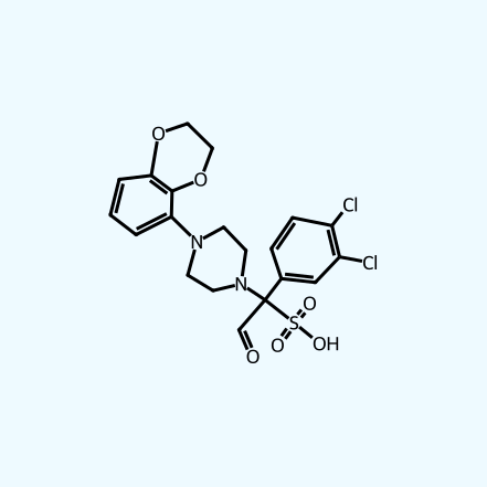 O=CC(c1ccc(Cl)c(Cl)c1)(N1CCN(c2cccc3c2OCCO3)CC1)S(=O)(=O)O